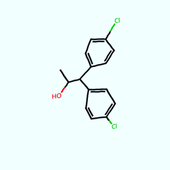 CC(O)C(c1ccc(Cl)cc1)c1ccc(Cl)cc1